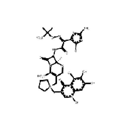 CCn1cc(C[N+]2(CC3=C(C(=O)O)N4C(=O)[C@@H](NC(=O)/C(=N\OC(C)(C)C(=O)O)c5nc(N)sc5Cl)[C@@]4(C)SC3)CCCC2)c(=O)c2c(Cl)c(O)c(O)cc21